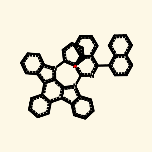 c1ccc(-n2c3ccccc3c3c4ccccc4c4c5ccccc5n(-c5nc(-c6cccc7ccccc67)c6ccccc6n5)c4c32)cc1